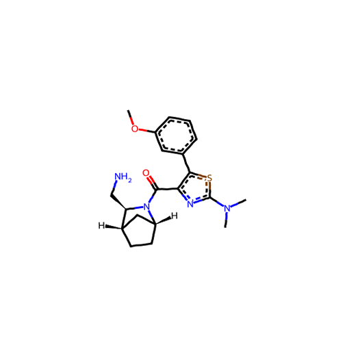 COc1cccc(-c2sc(N(C)C)nc2C(=O)N2[C@@H]3CC[C@@H](C3)[C@H]2CN)c1